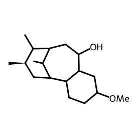 COC1CCC2C(C1)C(O)CC1C(C)C2C[C@@H](C)C1C